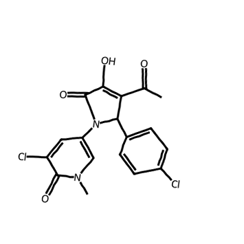 CC(=O)C1=C(O)C(=O)N(c2cc(Cl)c(=O)n(C)c2)C1c1ccc(Cl)cc1